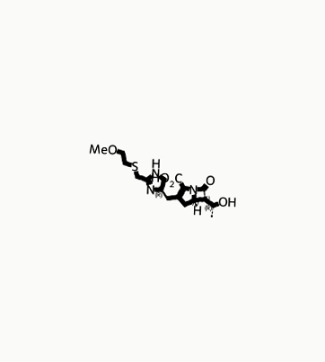 COCCSCC1=N[C@H](CC2=C(C(=O)O)N3C(=O)[C@H]([C@@H](C)O)[C@H]3C2)CN1